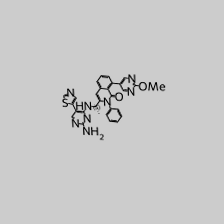 COc1ncc(-c2cccc3cc([C@H](C)Nc4nc(N)ncc4-c4cncs4)n(-c4ccccc4)c(=O)c23)cn1